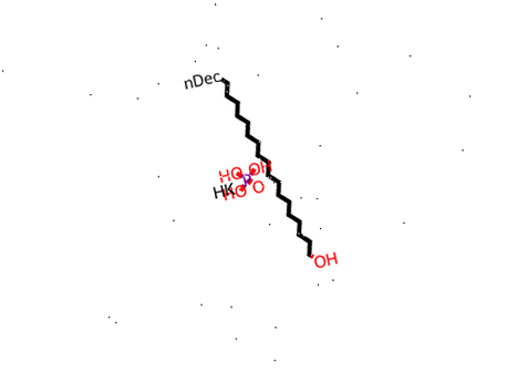 CCCCCCCCCCCCCCCCCCCCCCCCCCCCO.O=P(O)(O)O.[KH]